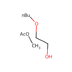 CCCCOCCO.COC(C)=O